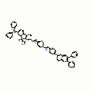 CCC1(CC)c2cc(/C=C/c3ccc(/C=C/c4ccc(-c5ccc6cc(-c7ccccc7)c(-c7ccccc7)cc6c5)cc4)cc3)ccc2-c2ccc(N(c3ccccc3)c3ccccc3)cc21